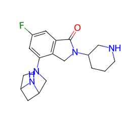 O=C1c2cc(F)cc(N3CC4CC(C3)N4)c2CN1C1CCCNC1